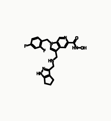 O=C(NO)c1cc2c(CNCc3n[nH]c4c3CCC4)cn(Cc3ccc(F)cc3F)c2cn1